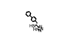 [CH2]N[C@@H](Cc1ccc(-c2ccccc2)cc1)c1nnn[nH]1